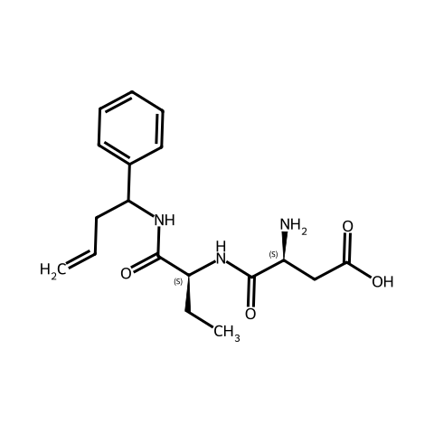 C=CCC(NC(=O)[C@H](CC)NC(=O)[C@@H](N)CC(=O)O)c1ccccc1